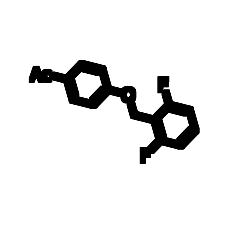 CC(=O)c1ccc(OCc2c(F)cccc2F)cc1